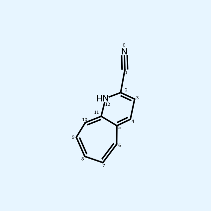 N#CC1=CC=C2C=CC=CC=C2N1